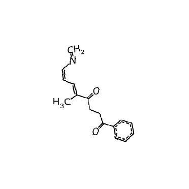 C=N/C=C\C=C(/C)C(=O)CCC(=O)c1ccccc1